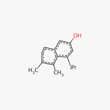 Cc1ccc2cc(O)cc(C(C)C)c2c1C